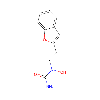 NC(=O)N(O)CCc1cc2ccccc2o1